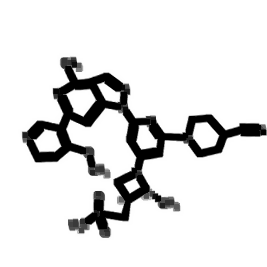 COc1ccncc1-c1cc2c(cnn2-c2cc(N3C[C@H](CS(C)(=O)=O)[C@H]3C)cc(N3CCC(C#N)CC3)n2)c(C)n1